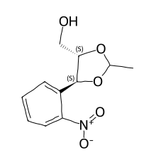 CC1O[C@@H](CO)[C@H](c2ccccc2[N+](=O)[O-])O1